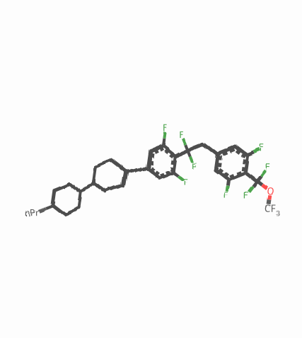 CCCC1CCC(C2CCC(c3cc(F)c(C(F)(F)Cc4cc(F)c(C(F)(F)OC(F)(F)F)c(F)c4)c(F)c3)CC2)CC1